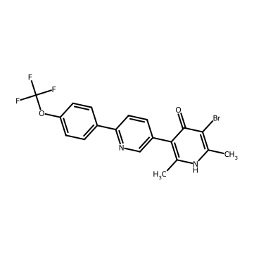 Cc1[nH]c(C)c(-c2ccc(-c3ccc(OC(F)(F)F)cc3)nc2)c(=O)c1Br